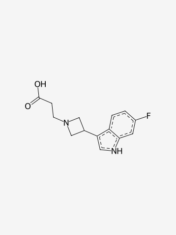 O=C(O)CCN1CC(c2c[nH]c3cc(F)ccc23)C1